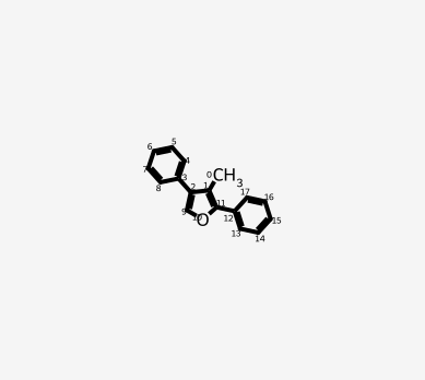 Cc1c(-c2ccccc2)coc1-c1ccccc1